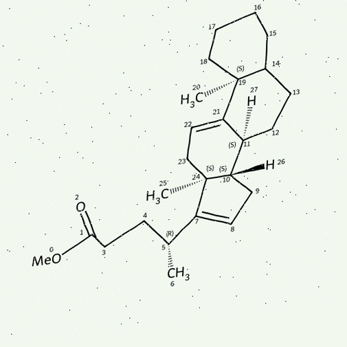 COC(=O)CC[C@@H](C)C1=CC[C@H]2[C@@H]3CCC4CCCC[C@]4(C)C3=CC[C@]12C